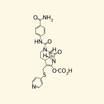 NC(=O)c1ccc(NC(=O)N2CCC3C(CSc4ccncc4)=C(OC(=O)O)N4C(=O)[C@@H]2[C@@H]34)cc1